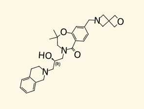 CC1(C)CN(C[C@H](O)CN2CCc3ccccc3C2)C(=O)c2ccc(CN3CC4(COC4)C3)cc2O1